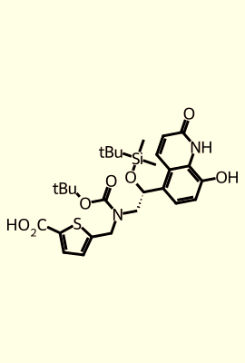 CC(C)(C)OC(=O)N(Cc1ccc(C(=O)O)s1)C[C@H](O[Si](C)(C)C(C)(C)C)c1ccc(O)c2[nH]c(=O)ccc12